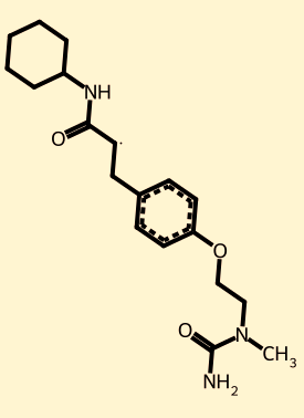 CN(CCOc1ccc(C[CH]C(=O)NC2CCCCC2)cc1)C(N)=O